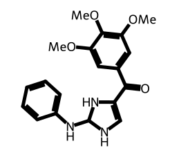 COc1cc(C(=O)C2=CNC(Nc3ccccc3)N2)cc(OC)c1OC